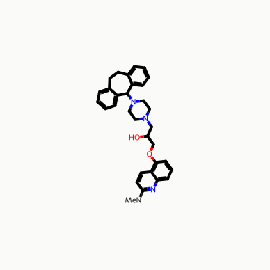 CNc1ccc2c(OCC(O)CN3CCN(C4c5ccccc5CCc5ccccc54)CC3)cccc2n1